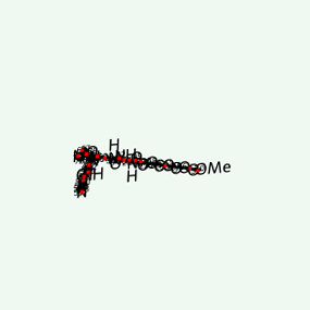 COCCOCCOCCOCCOCCOCCOCCOCCC(=O)NCCCC[C@H](N)C(=O)NCCCCCCn1nc(-c2ccc(NC(=O)N3Cc4ccncc4C3)cc2)cc(-c2cccc3ncccc23)c1=O